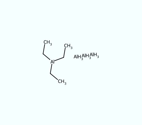 C[CH2][Al]([CH2]C)[CH2]C.[AlH3].[AlH3].[AlH3]